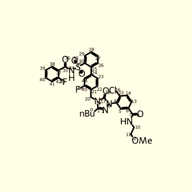 CCCCc1nn(-c2cc(C(=O)NCCOC)ccc2Cl)c(=O)n1Cc1ccc(-c2ccccc2S(=O)(=O)NC(=O)c2ccccc2F)cc1F